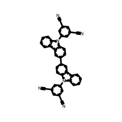 N#Cc1cc(C#N)cc(-n2c3ccccc3c3cc(-c4ccc5c(c4)c4ccccc4n5-c4cc(C#N)cc(C#N)c4)ccc32)c1